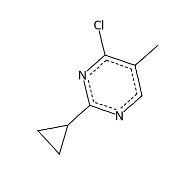 Cc1cnc(C2CC2)nc1Cl